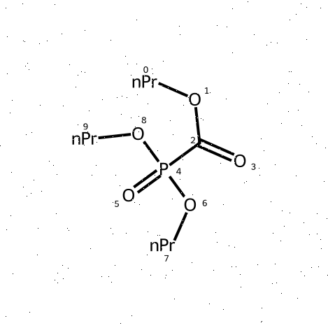 CCCOC(=O)P(=O)(OCCC)OCCC